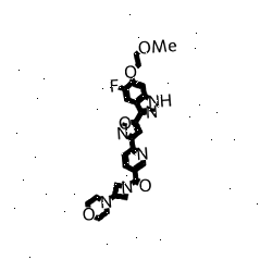 COCCOc1cc2[nH]nc(-c3cc(-c4ccc(C(=O)N5CC(N6CCOCC6)C5)cn4)no3)c2cc1F